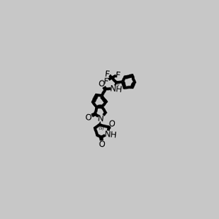 O=C1CC[C@H](N2Cc3cc(C(=O)N[C@H](c4ccccc4)C(F)(F)F)ccc3C2=O)C(=O)N1